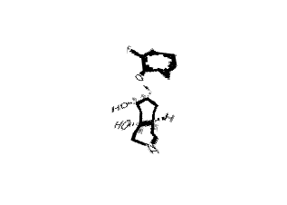 O[C@@H]1[C@H](Oc2ccccc2F)C[C@H]2CNC[C@]21O